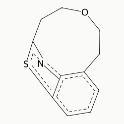 c1cc2c3nc(sc3c1)CCOCC2